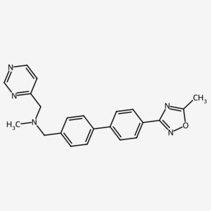 Cc1nc(-c2ccc(-c3ccc(CN(C)Cc4ccncn4)cc3)cc2)no1